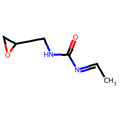 CC=NC(=O)NCC1CO1